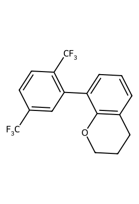 FC(F)(F)c1ccc(C(F)(F)F)c(-c2cccc3c2OCCC3)c1